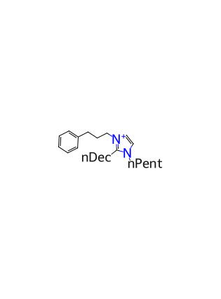 CCCCCCCCCCc1n(CCCCC)cc[n+]1CCCc1ccccc1